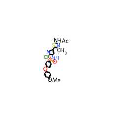 COc1ccc(Oc2ccc(S(=O)(=O)Nc3cc(-c4sc(NC(C)=O)nc4C)cnc3Cl)cc2)cc1